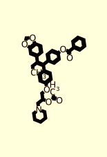 CCC(=C(c1ccc(OCC(CN2CCCCC2)OC(C)=O)cc1)c1ccc(OC(=O)c2ccccc2)cc1)c1ccc2c(c1)OCO2